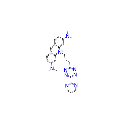 CN(C)c1ccc2cc3ccc(N(C)C)cc3[n+](CCCc3nnc(-c4ncccn4)nn3)c2c1